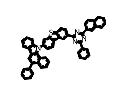 c1ccc(-c2nc(-c3ccc4ccccc4c3)nc(-c3ccc4sc5cc(-n6c7ccccc7c7cc(-c8ccccc8)c8ccccc8c76)ccc5c4c3)n2)cc1